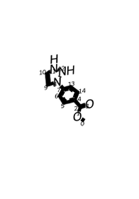 COC(=O)c1ccc(N2C=CNN2)cc1